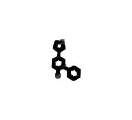 O=c1ccc(-c2ccsc2)cn1-c1ccccc1